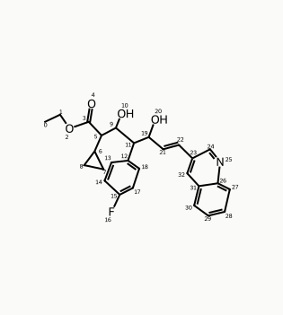 CCOC(=O)C(C1CC1)C(O)C(c1ccc(F)cc1)C(O)C=Cc1cnc2ccccc2c1